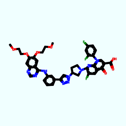 COCCOc1cc2ncnc(Nc3cccc(-c4cn(C5CCN(c6nc7c(cc6F)c(=O)c(C(=O)O)cn7-c6ccc(F)cc6F)C5)nn4)c3)c2cc1OCCOC